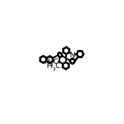 CC1(C)c2ccccc2C2(c3ccccc3-n3c4ccccc4c4cccc2c43)c2cccc(-c3ccc4ccccc4c3)c21